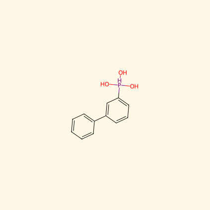 O[PH](O)(O)c1cccc(-c2ccccc2)c1